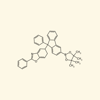 CC1(C)OB(c2ccc3c(c2)-c2ccccc2C3(c2ccccc2)C2C=c3nc(-c4ccccc4)oc3=CC2)OC1(C)C